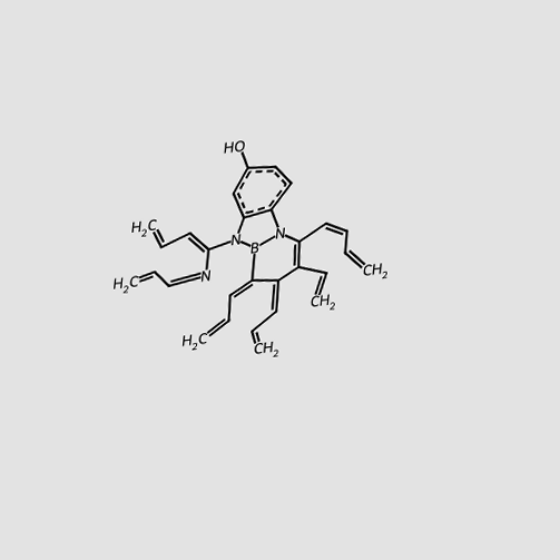 C=C/C=C\C1=C(C=C)C(=C/C=C)/C(=C\C=C)B2N1c1ccc(O)cc1N2C(=C/C=C)/N=C\C=C